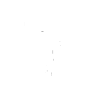 C=CCN1CN(CC=C)C(O)C1=O